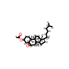 CC(=O)OC1CC[C@]2(C)[C@H]3CC[C@]4(C)[C@@H]([C@H](C)CCCC(C)C)CC[C@H]4[C@@H]3CC3OC32C1